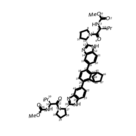 COC(=O)N[C@H](C(=O)N1CCC[C@H]1c1nc2cc(-c3ccc(-c4ccc5[nH]c([C@@H]6CCCN6C(=O)[C@@H](NC(=O)OC)C(C)C)nc5c4)c4c3C3CCC4C3)ccc2[nH]1)C(C)C